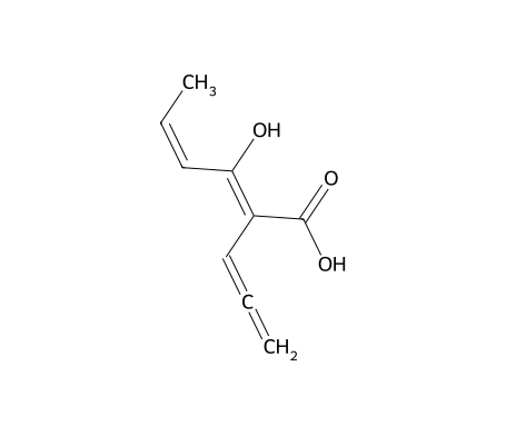 C=C=C/C(C(=O)O)=C(O)\C=C/C